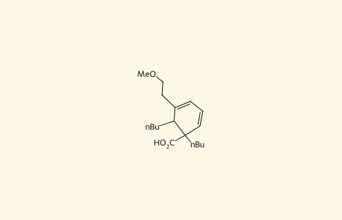 CCCCC1C(CCOC)=CC=CC1(CCCC)C(=O)O